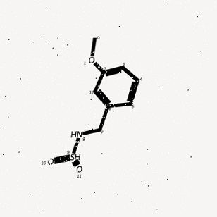 COc1cccc(CN[SH](=O)=O)c1